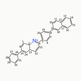 C1=CC2N=C(c3ccc(-c4ccc5ccccc5c4)cc3)C=CC2C=C1c1ccccc1